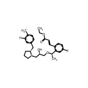 CCOC(=O)/C=C/c1ccc(F)cc1[C@@H](C)OC[C@H](O)CN1CCC[C@H]1Cc1ccc(C)c(F)c1